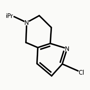 CC(C)N1CCc2nc(Cl)ccc2C1